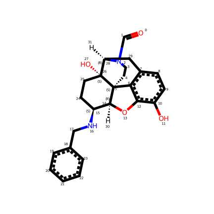 O=CN1CC[C@]23c4c5ccc(O)c4O[C@H]2[C@@H](NCc2ccccc2)CC[C@@]3(O)[C@H]1C5